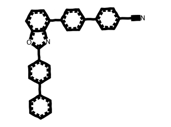 N#Cc1ccc(-c2ccc(-c3cccc4oc(-c5ccc(-c6ccccc6)cc5)nc34)cc2)cc1